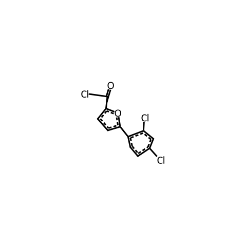 O=C(Cl)c1ccc(-c2ccc(Cl)cc2Cl)o1